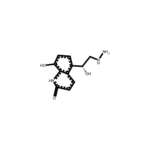 NNC[C@H](O)c1ccc(O)c2[nH]c(=O)ccc12